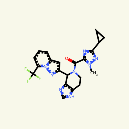 Cn1nc(C2CC2)nc1C(=O)N1CCc2[nH]cnc2C1c1cc2cccc(C(F)(F)F)n2n1